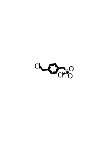 O=S(=O)(Cl)Cc1ccc(CCl)cc1